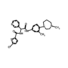 Cc1cc(NC(=O)C(NC(=O)c2ccc(Cl)s2)c2cccnc2)ccc1N1CCCN(C)CC1